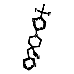 N#CC1(Cc2cccnc2)CCN(c2ccc(C(F)(F)F)nc2)CC1